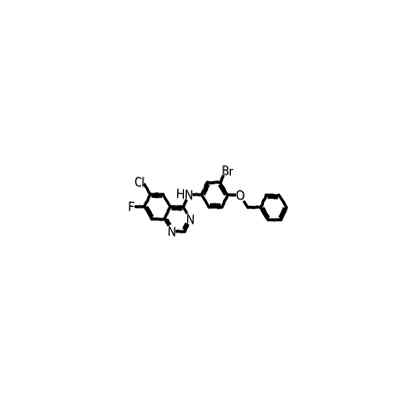 Fc1cc2ncnc(Nc3ccc(OCc4ccccc4)c(Br)c3)c2cc1Cl